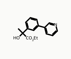 CCOC(=O)C(C)(O)c1cccc(-c2cccnc2)c1